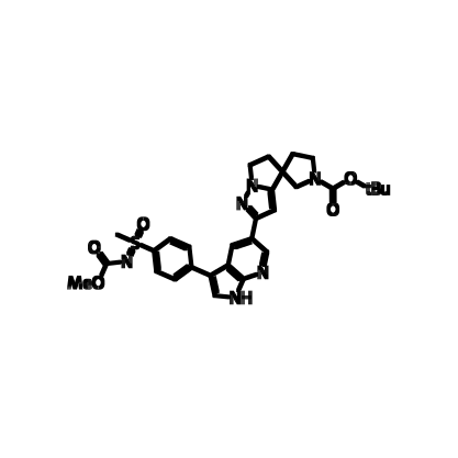 COC(=O)N=S(C)(=O)c1ccc(-c2c[nH]c3ncc(-c4cc5n(n4)CCC54CCN(C(=O)OC(C)(C)C)C4)cc23)cc1